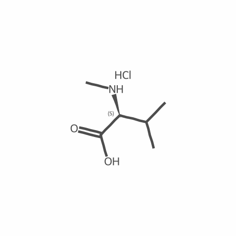 CN[C@H](C(=O)O)C(C)C.Cl